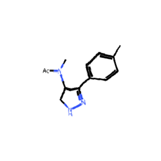 CC(=O)N(C)C1CNN=C1c1ccc(C)cc1